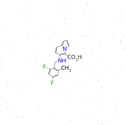 Cc1cc(F)cc(F)c1CNc1ccc2cccn2c1C(=O)O